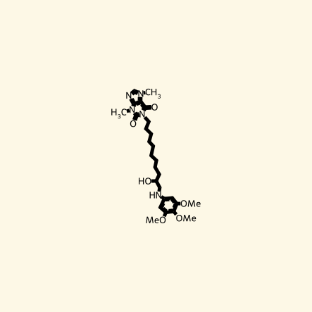 COc1cc(NCC(O)CCCCCCCCCn2c(=O)c3c(ncn3C)n(C)c2=O)cc(OC)c1OC